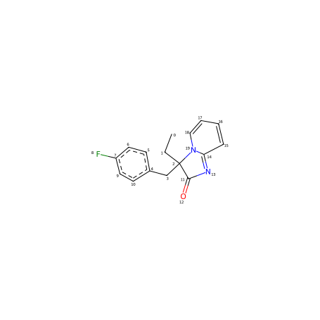 CCC1(Cc2ccc(F)cc2)C(=O)N=C2C=CC=CN21